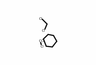 C1CCCCC1.ClC(Cl)(Cl)Cl.ClCCl